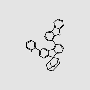 c1ccc(-c2ccc3c(c2)-c2c(-c4cccc5c4sc4ccccc45)cccc2C32C3CC4CC(C3)CC2C4)nc1